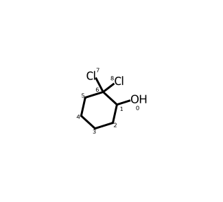 OC1CCCCC1(Cl)Cl